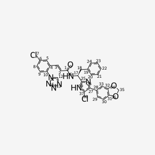 O=C(C=Cc1cc(Cl)ccc1-n1cnnn1)N[C@@H](Cc1ccccc1)c1nc(-c2ccc3c(c2)OCO3)c(Cl)[nH]1